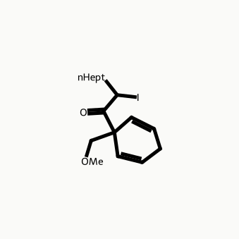 CCCCCCCC(I)C(=O)C1(COC)C=CCC=C1